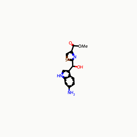 COC(=O)c1csc(C(O)c2c[nH]c3cc(N)ccc23)n1